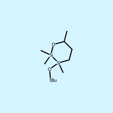 CC1CC[Si](C)(OC(C)(C)C)[Si](C)(C)O1